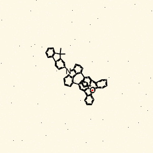 CC1(C)c2ccccc2-c2ccc(-n3c4cccc(-c5ccc6oc7ccccc7c6c5)c4c4c(-c5ccc6oc7ccccc7c6c5)cccc43)cc21